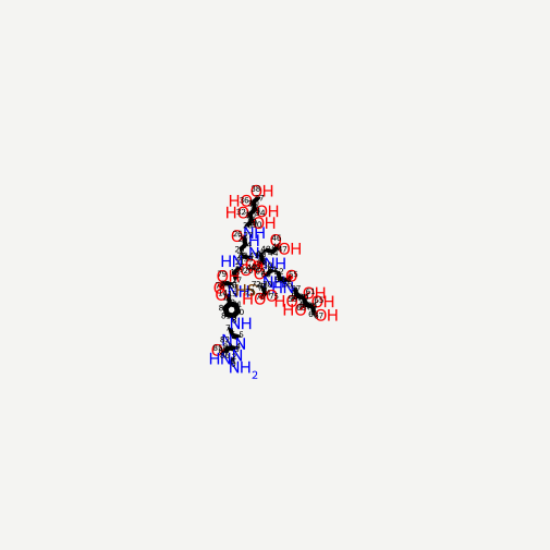 Nc1nc2ncc(CNc3ccc(C(=O)N[C@@H](CCC(=O)N[C@@H](CCC(=O)NC[C@H](O)[C@@H](O)[C@H](O)[C@H](O)CO)C(=O)N[C@@H](CCC(=O)O)C(=O)N[C@@H](CCC(=O)NC[C@H](O)[C@@H](O)[C@H](O)[C@H](O)CO)C(=O)N[C@@H](CS)C(=O)O)C(=O)O)cc3)nc2c(=O)[nH]1